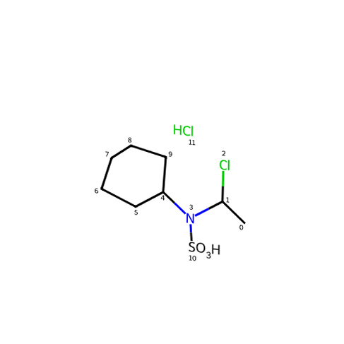 CC(Cl)N(C1CCCCC1)S(=O)(=O)O.Cl